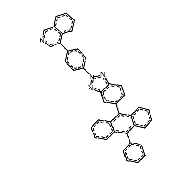 c1ccc(-c2c3ccccc3c(-c3ccc4nn(-c5ccc(-c6cncc7ccccc67)cc5)nc4c3)c3ccccc23)cc1